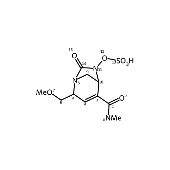 CNC(=O)C1=CC(COC)N2CC1N(OS(=O)(=O)O)C2=O